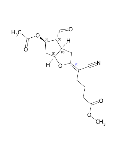 COC(=O)CCC/C(C#N)=C1/C[C@@H]2[C@@H](C=O)[C@H](OC(C)=O)C[C@@H]2O1